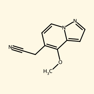 COc1c(CC#N)ccn2nccc12